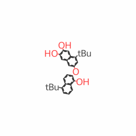 CC(C)(C)c1cc(Oc2ccc3c(C(C)(C)C)cccc3c2O)cc2cc(O)c(O)cc12